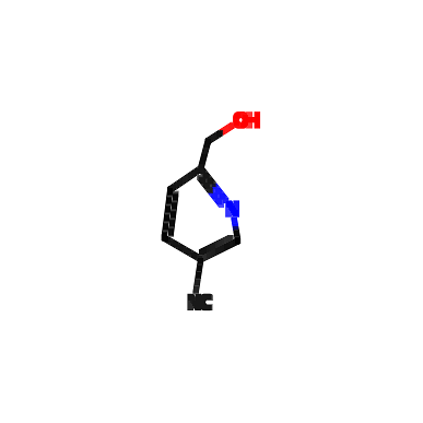 [C-]#[N+]c1ccc(CO)nc1